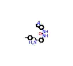 Cc1ccc(CC(N)c2cccc(NC(=O)Nc3ccc4c(ccn4C)c3)c2)cc1